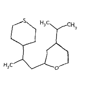 CC(C)C1CCOC(CC(C)C2CCSCC2)C1